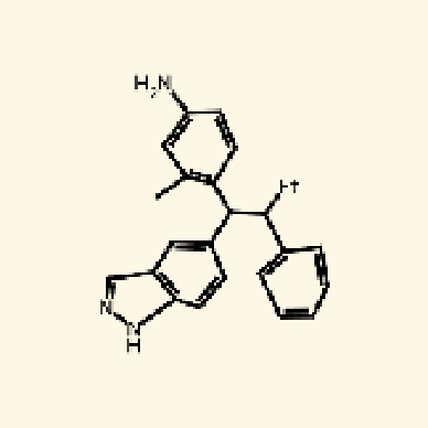 CCC(c1ccccc1)C(c1ccc2[nH]ncc2c1)c1ccc(N)cc1C